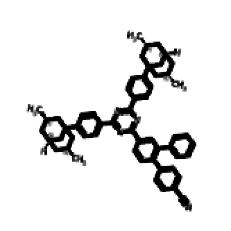 C[C@@H]1C[C@@H]2C[C@H](C)CC(c3ccc(-c4nc(-c5ccc(C67C[C@H](C)C[C@H](C[C@H](C)C6)C7)cc5)nc(-c5ccc(-c6ccc(C#N)cc6)c(-c6ccccc6)c5)n4)cc3)(C1)C2